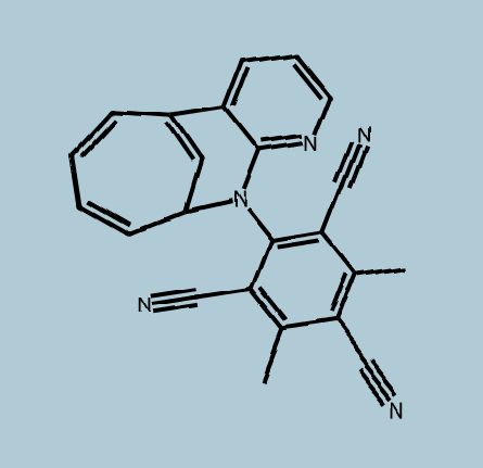 Cc1c(C#N)c(C)c(C#N)c(N2c3ncccc3C3=CC2C=CC=C3)c1C#N